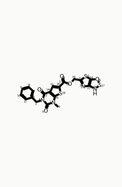 Cn1c(=O)n(Cc2ccccc2)c(=O)c2cc(C(=O)OCc3nc4c(s3)OSN4)sc21